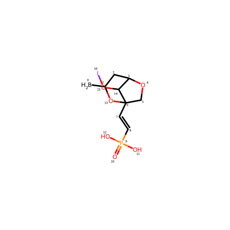 BC1CC2OCC(/C=C/P(=O)(O)O)(O1)C2OI